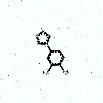 Cc1cc(-n2cnnc2)ccc1N